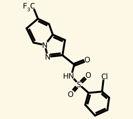 O=C(NS(=O)(=O)c1ccccc1Cl)c1cc2cc(C(F)(F)F)ccn2n1